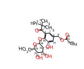 CCCC(C)(C)C(=O)c1cc(COC(=O)C(C)(C)C)ccc1OC1OC(C(=O)O)[C@@H](O)C(O)[C@H]1O